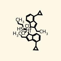 CCC[SiH]=[Hf]([Cl])([Cl])([CH]1C(CC)=Cc2c(C3CC3)cccc21)[CH]1C(CC)=Cc2c(C3CC3)cccc21